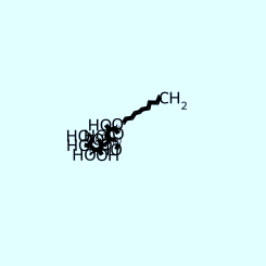 C=CCCCCCCCCCO[C@@H]1O[C@H](CO)C(OC2O[C@H](CO)C(O)[C@H](O)C2O)[C@H](O)C1O